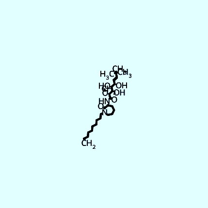 C=CCCCCCCCCN1CCCCC(NC(=O)[C@H](OC)[C@H](O)[C@@H](O)[C@H](O)/C=C/C(C)(C)C)C1=O